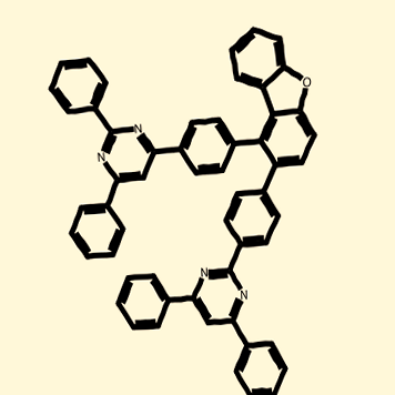 c1ccc(-c2cc(-c3ccc(-c4c(-c5ccc(-c6nc(-c7ccccc7)cc(-c7ccccc7)n6)cc5)ccc5oc6ccccc6c45)cc3)nc(-c3ccccc3)n2)cc1